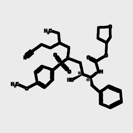 CCC(CCC#N)CN(C[C@@H](O)[C@H](Cc1ccccc1)NC(=O)OC1CCOC1)S(=O)(=O)c1ccc(OC)cc1